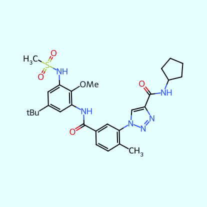 COc1c(NC(=O)c2ccc(C)c(-n3cc(C(=O)NC4CCCC4)nn3)c2)cc(C(C)(C)C)cc1NS(C)(=O)=O